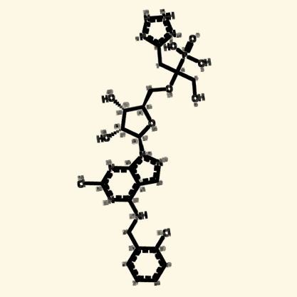 O=P(O)(O)C(CO)(Cc1nn[nH]n1)OC[C@H]1O[C@@H](n2ncc3c(NCc4ccccc4Cl)nc(Cl)nc32)[C@H](O)[C@@H]1O